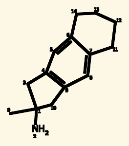 CC1(N)Cc2cc3c(cc2C1)CCCC3